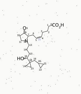 O=C(O)CCC/C=C\CC1C(=O)CCN1CCCC(O)C1(CC2CC2)CC1